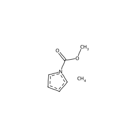 C.COC(=O)n1cccc1